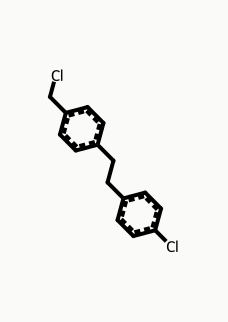 ClCc1ccc(CCc2ccc(Cl)cc2)cc1